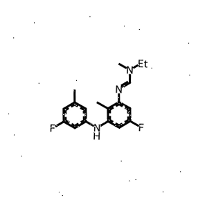 CCN(C)/C=N/c1cc(F)cc(Nc2cc(C)cc(F)c2)c1C